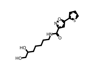 O=C(NCCCCCC(O)CO)c1cc(-c2cccs2)on1